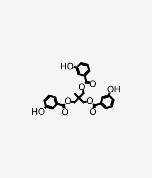 CC(COC(=O)c1cccc(O)c1)(COC(=O)c1cccc(O)c1)COC(=O)c1cccc(O)c1